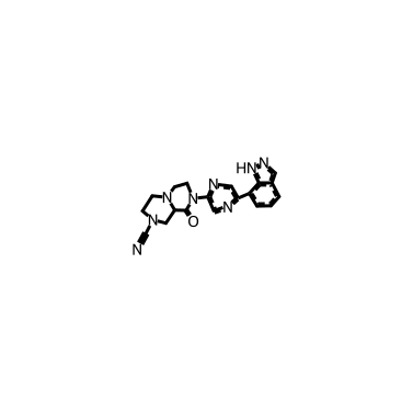 N#CN1CCN2CCN(c3cnc(-c4cccc5cn[nH]c45)cn3)C(=O)C2C1